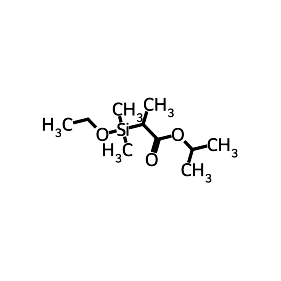 CCO[Si](C)(C)C(C)C(=O)OC(C)C